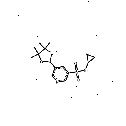 CC1(C)OB(c2cncc(S(=O)(=O)NC3CC3)c2)OC1(C)C